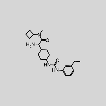 CCc1cccc(NC(=O)NC2CCC([C@H](N)C(=O)N(C)C3CCC3)CC2)c1